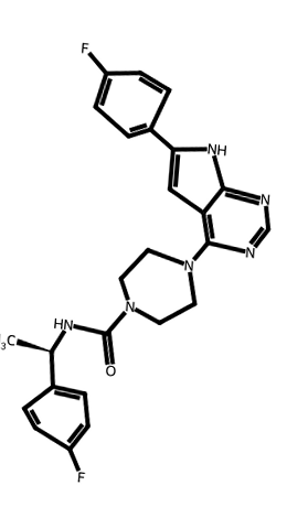 C[C@@H](NC(=O)N1CCN(c2ncnc3[nH]c(-c4ccc(F)cc4)cc23)CC1)c1ccc(F)cc1